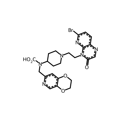 O=C(O)N(Cc1cc2c(cn1)OCCO2)C1CCN(CCn2c(=O)cnc3ccc(Br)nc32)CC1